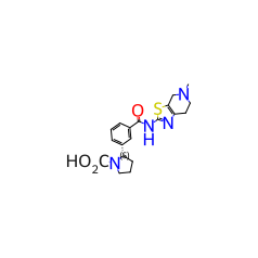 CN1CCc2nc(NC(=O)c3cccc([C@@H]4CCCN4C(=O)O)c3)sc2C1